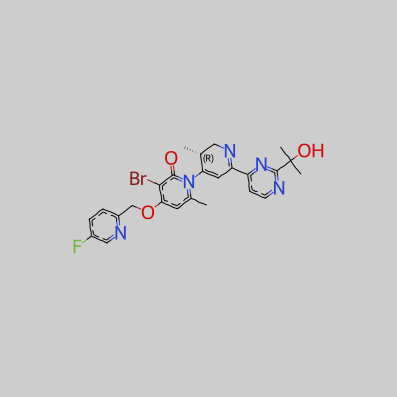 Cc1cc(OCc2ccc(F)cn2)c(Br)c(=O)n1C1=CC(c2ccnc(C(C)(C)O)n2)=NC[C@H]1C